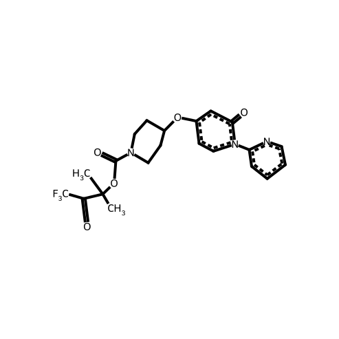 CC(C)(OC(=O)N1CCC(Oc2ccn(-c3ccccn3)c(=O)c2)CC1)C(=O)C(F)(F)F